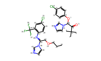 CC(C)(C)C(=O)C(Oc1ccc(Cl)cc1)n1ccnc1.CCCOC/C(=N\c1ccc(Cl)cc1C(F)(F)F)n1ccnc1